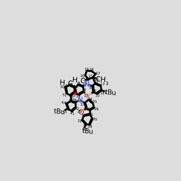 Cc1cc2c3c(c1)N1c4c(cc(C(C)(C)C)cc4C4(C)CCCCC14C)B3c1ccc3c(oc4cc(C(C)(C)C)ccc43)c1N2c1ccc(C(C)(C)C)cc1-c1ccccc1